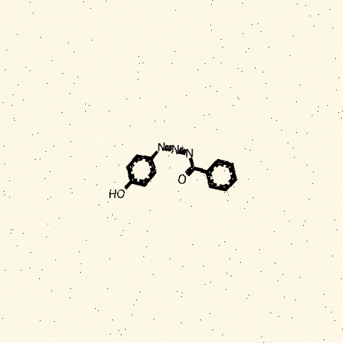 O=C(N=[N+]=Nc1ccc(O)cc1)c1ccccc1